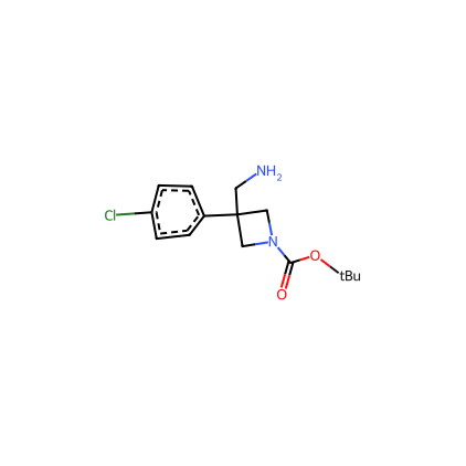 CC(C)(C)OC(=O)N1CC(CN)(c2ccc(Cl)cc2)C1